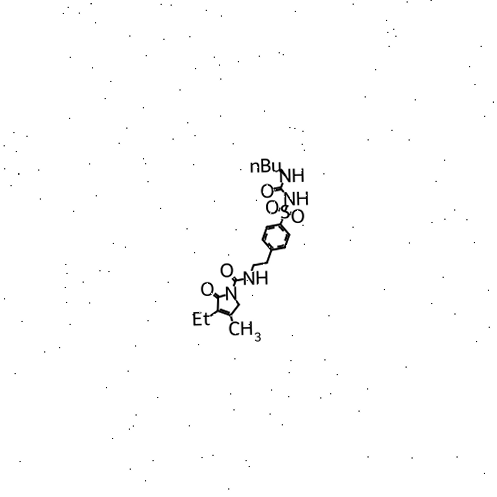 CCCCNC(=O)NS(=O)(=O)c1ccc(CCNC(=O)N2CC(C)=C(CC)C2=O)cc1